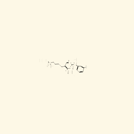 CN(C)CCCCc1cnc(Nc2cccc(F)c2)nc1N